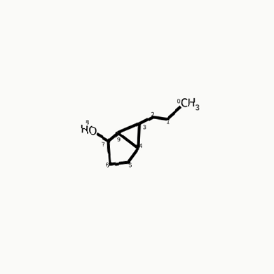 CCCC1C2CCC(O)C12